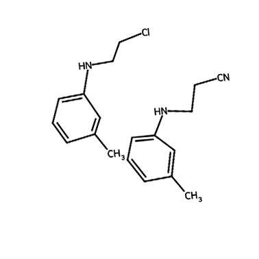 Cc1cccc(NCCC#N)c1.Cc1cccc(NCCCl)c1